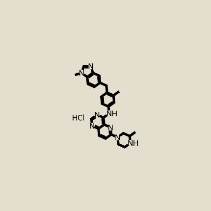 Cc1cc(Nc2ncnc3ccc(N4CCNC(C)C4)nc23)ccc1Cc1ccc2c(c1)ncn2C.Cl